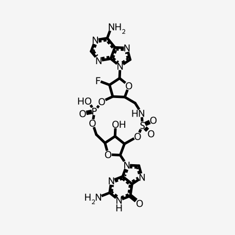 Nc1nc2c(ncn2C2OC3COP(=O)(O)OC4C(CNS(=O)(=O)OC2C3O)OC(n2cnc3c(N)ncnc32)C4F)c(=O)[nH]1